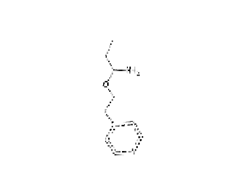 CCC(N)OCCc1ccccc1